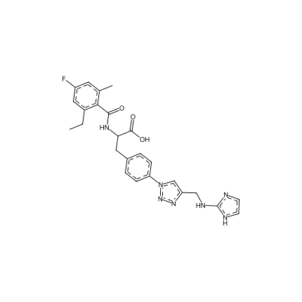 CCc1cc(F)cc(C)c1C(=O)NC(Cc1ccc(-n2cc(CNc3ncc[nH]3)nn2)cc1)C(=O)O